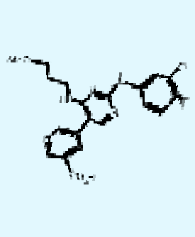 COCCCNc1nc(Nc2ccc(F)c(Cl)c2)ncc1-c1cncc(C(=O)O)c1